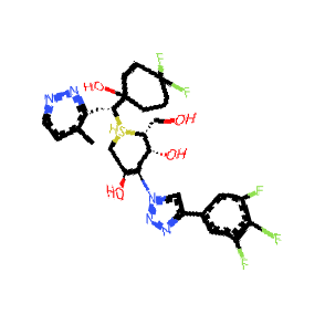 Cc1ccnnc1[C@@H]([SH]1C[C@H](O)[C@H](n2cc(-c3cc(F)c(F)c(F)c3)nn2)[C@@H](O)[C@H]1CO)C1(O)CCC(F)(F)CC1